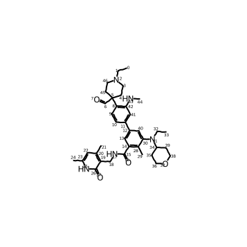 CCN1CCC(C=O)(c2ccc(-c3cc(C(=O)NCc4c(C)cc(C)[nH]c4=O)c(C)c(N(CC)C4CCOCC4)c3)cc2NC)CC1